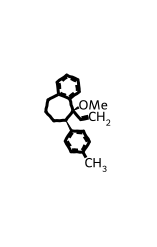 C=C[C@@]1(OC)c2ccccc2CCC[C@@H]1c1ccc(C)cc1